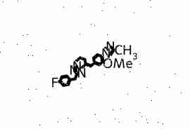 COc1cc(C=C2CCCn3nc(Cc4ccc(F)cc4)nc32)ccc1-n1cnc(C)c1